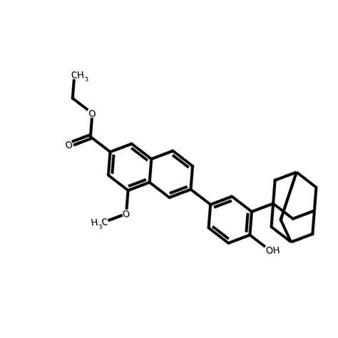 CCOC(=O)c1cc(OC)c2cc(-c3ccc(O)c(C45CC6CC(CC(C6)C4)C5)c3)ccc2c1